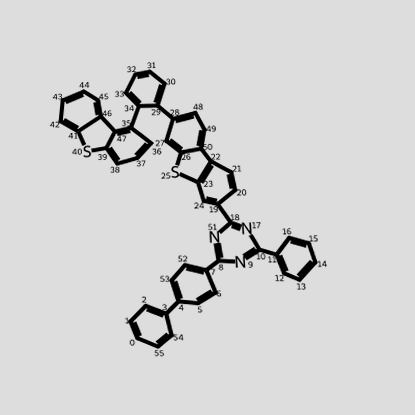 c1ccc(-c2ccc(-c3nc(-c4ccccc4)nc(-c4ccc5c(c4)sc4cc(-c6ccccc6-c6cccc7sc8ccccc8c67)ccc45)n3)cc2)cc1